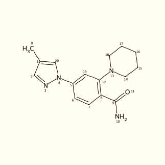 Cc1cnn(-c2ccc(C(N)=O)c(N3CCCCC3)c2)c1